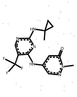 Cn1ncc(Nc2nc(NC3(C)CC3)ncc2C(F)(F)F)cc1=O